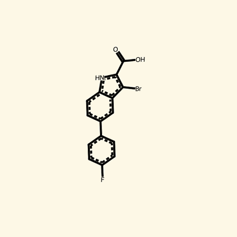 O=C(O)c1[nH]c2ccc(-c3ccc(F)cc3)cc2c1Br